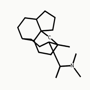 CC(C1CCC2CCC3CCCC34CC1(C)CCC24)N(C)C